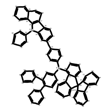 c1ccc(-c2ccc(N(c3ccc(-c4ccc5c6ccc7ccccc7c6n(-c6ccccc6)c5c4)cc3)c3cccc4c3-c3ccccc3C43c4ccccc4-c4ccccc43)cc2-c2ccccc2)cc1